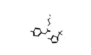 CNCCOC(=O)[C@H](Oc1cccc(C(F)(F)F)c1)c1ccc(C)cc1